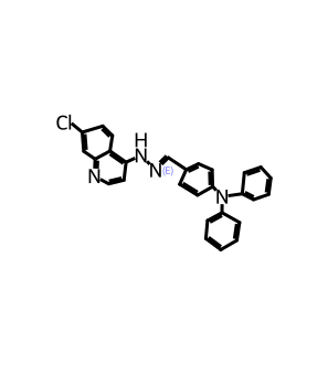 Clc1ccc2c(N/N=C/c3ccc(N(c4ccccc4)c4ccccc4)cc3)ccnc2c1